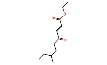 CCOC(=O)/C=C/C(=O)CCC(C)CC